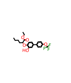 CCCCC(Oc1ccc(-c2ccc(OC(F)(F)F)cc2)cc1O)C(=O)OCC